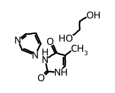 Cc1c[nH]c(=O)[nH]c1=O.OCCO.c1cncnc1